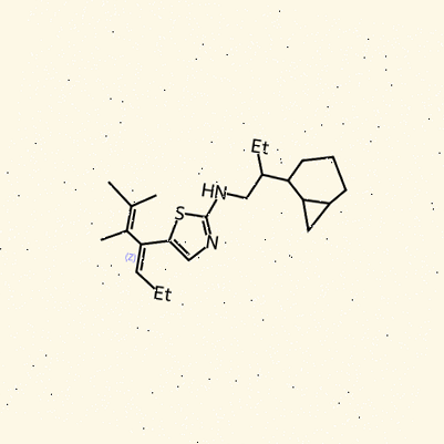 CC/C=C(/C(C)=C(C)C)c1cnc(NCC(CC)C2CCCC3CC32)s1